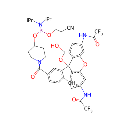 Cc1ccc(C(=O)N2CCC(OP(OCCC#N)N(C(C)C)C(C)C)CC2)cc1C1(OCO)c2ccc(NC(=O)C(F)(F)F)cc2Oc2cc(NC(=O)C(F)(F)F)ccc21